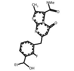 CCC(O)c1cccc(Cc2cc(=O)n3c(C(=O)NC)c(C)sc3n2)c1F